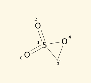 O=S1(=O)[CH]O1